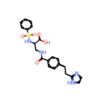 O=C(NCC(NS(=O)(=O)c1ccccc1)C(=O)O)c1ccc(CCc2ncc[nH]2)cc1